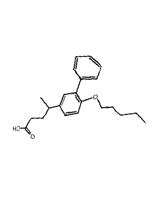 CCCCCOc1ccc(C(C)CCC(=O)O)cc1-c1ccccc1